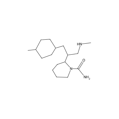 CNCC(CC1CCC(C)CC1)C1CCCCN1C(N)=O